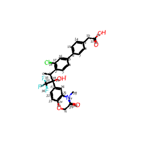 CC(c1ccc(-c2ccc(CC(=O)O)cc2)cc1Cl)C(O)(c1ccc2c(c1)N(C)C(=O)CO2)C(F)(F)F